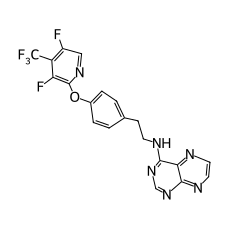 Fc1cnc(Oc2ccc(CCNc3ncnc4nccnc34)cc2)c(F)c1C(F)(F)F